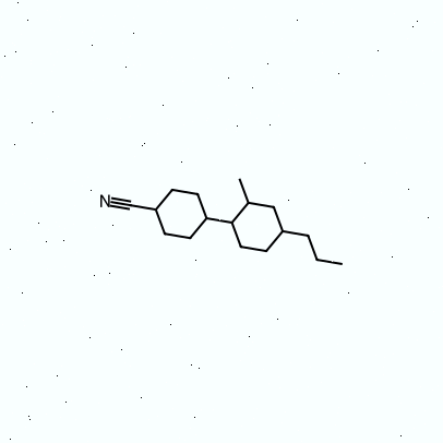 CCCC1CCC(C2CCC(C#N)CC2)C(C)C1